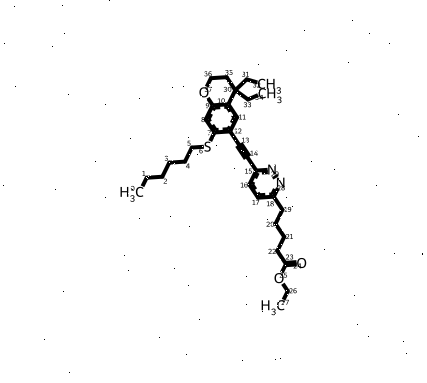 CCCCCCSc1cc2c(cc1C#Cc1ccc(CCCCC(=O)OCC)nn1)C(CC)(CC)CCO2